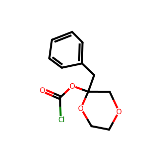 O=C(Cl)OC1(Cc2ccccc2)COCCO1